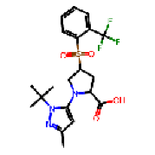 Cc1cc(N2CC(S(=O)(=O)c3ccccc3C(F)(F)F)CC2C(=O)O)n(C(C)(C)C)n1